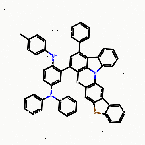 Cc1ccc(Nc2ccc(N(c3ccccc3)c3ccccc3)cc2-c2cc(-c3ccccc3)c3c4ccccc4n4c3c2Bc2cc3sc5ccccc5c3cc2-4)cc1